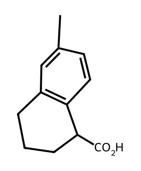 Cc1ccc2c(c1)CCCC2C(=O)O